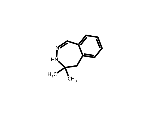 CC1(C)Cc2ccccc2C=NN1